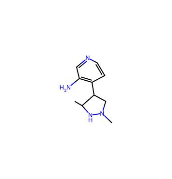 CC1NN(C)CC1c1ccncc1N